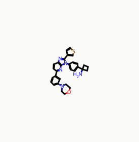 NC1(c2ccc(-n3c(-c4ccsc4)nc4ccc(-c5cccc(N6CCOCC6)c5)nc43)cc2)CCC1